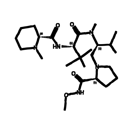 CONC(=O)[C@@H]1CCCN1C[C@H](C(C)C)N(C)C(=O)[C@@H](NC(=O)[C@H]1CCCCN1C)C(C)(C)C